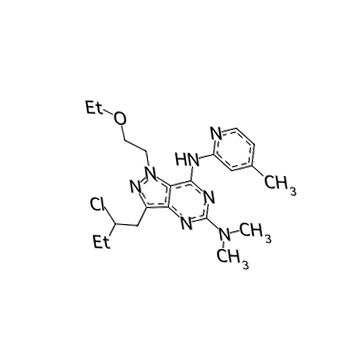 CCOCCn1nc(CC(Cl)CC)c2nc(N(C)C)nc(Nc3cc(C)ccn3)c21